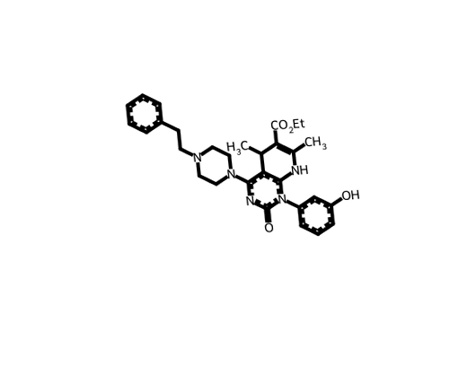 CCOC(=O)C1=C(C)Nc2c(c(N3CCN(CCc4ccccc4)CC3)nc(=O)n2-c2cccc(O)c2)C1C